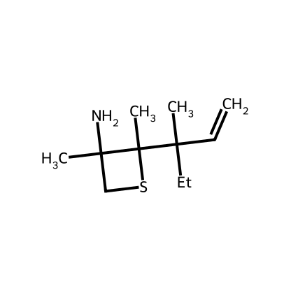 C=CC(C)(CC)C1(C)SCC1(C)N